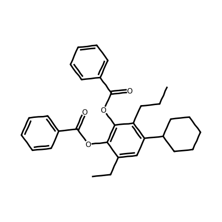 CCCc1c(C2CCCCC2)cc(CC)c(OC(=O)c2ccccc2)c1OC(=O)c1ccccc1